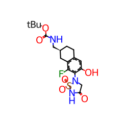 CC(C)(C)OC(=O)NC[C@H]1CCc2cc(O)c(N3CC(=O)NS3(=O)=O)c(F)c2C1